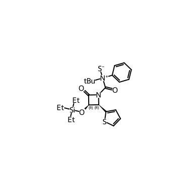 CC[Si](CC)(CC)O[C@H]1C(=O)N(C(=O)[N+]([S-])(c2ccccc2)C(C)(C)C)[C@H]1c1cccs1